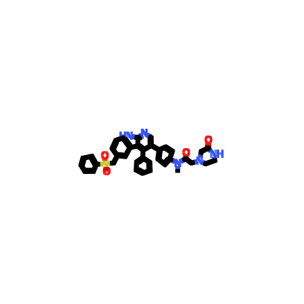 CN(C(=O)CN1CCNC(=O)C1)c1ccc(-c2cnc3[nH]c4ccc(CS(=O)(=O)c5ccccc5)cc4c3c2-c2ccccc2)cc1